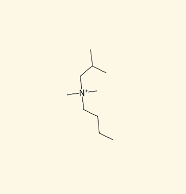 CCCC[N+](C)(C)CC(C)C